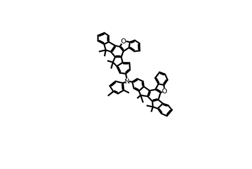 Cc1ccc(N(c2ccc3c(c2)C(C)(C)c2c4c(c5oc6ccccc6c5c2-3)-c2ccccc2C4(C)C)c2ccc3c(c2)C(C)(C)c2c4c(c5oc6ccccc6c5c2-3)-c2ccccc2C4(C)C)c(C)c1